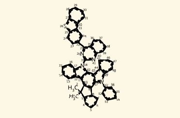 CC1(C)c2ccccc2-c2c1c1c3ccccc3n(-c3nc(-c4ccc5sc6ccccc6c5c4)c4ccccc4n3)c1c1c3ccccc3n(-c3ccccc3)c21